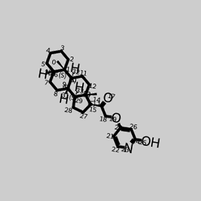 C[C@]12CCCC[C@H]1CC[C@@H]1[C@@H]2CC[C@]2(C)[C@@H](C(=O)COc3ccnc(O)c3)CC[C@@H]12